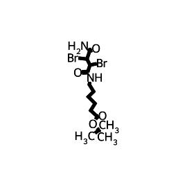 CC(C)(C)OC(=O)CCCCCNC(=O)C(Br)C(Br)C(N)=O